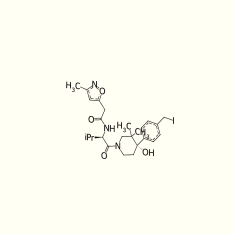 Cc1cc(CC(=O)N[C@@H](C(=O)N2CC[C@](O)(c3ccc(CI)cc3)C(C)(C)C2)C(C)C)on1